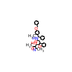 Cc1cc(OCc2ccccc2)ccc1C(NC(=O)Cc1c(C(O)c2c(C)noc2C)oc2ccccc12)c1ccccc1